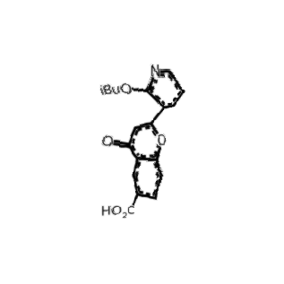 CC(C)COc1ncccc1-c1cc(=O)c2cc(C(=O)O)ccc2o1